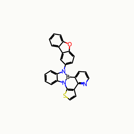 c1cnc2c(c1)B1N(c3ccc4oc5ccccc5c4c3)c3ccccc3N1c1sccc1-2